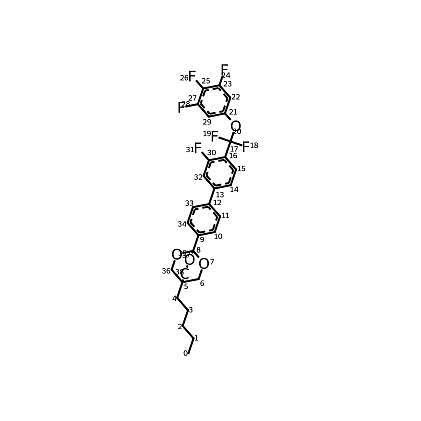 CCCCCC12COC(c3ccc(-c4ccc(C(F)(F)Oc5cc(F)c(F)c(F)c5)c(F)c4)cc3)(OC1)OC2